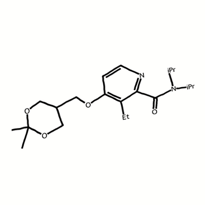 CCc1c(OCC2COC(C)(C)OC2)ccnc1C(=O)N(C(C)C)C(C)C